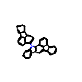 c1ccc2c(c1)-c1cccc3c(-n4c5ccccc5c5cc6c7c(cccc7c54)-c4ccccc4-6)ccc-2c13